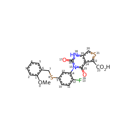 COc1ccccc1CSc1ccc(F)c(-n2c(=O)[nH]c3csc(C(=O)O)c3c2=O)c1